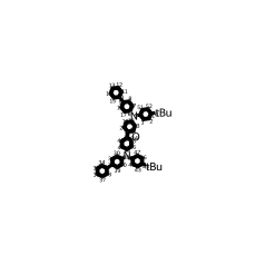 CC(C)(C)c1ccc(N(c2ccc(-c3ccccc3)cc2)c2ccc3c(c2)oc2cc(N(c4ccc(-c5ccccc5)cc4)c4ccc(C(C)(C)C)cc4)ccc23)cc1